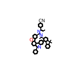 C/C=C(/N=C(\N=C(/C)c1ccc2c(c1)-c1ccccc1C2(C)C)c1ccc2oc3ccc4c(-c5ccccc5)nc5ccccc5c4c3c2c1)c1ccc(C#N)cc1